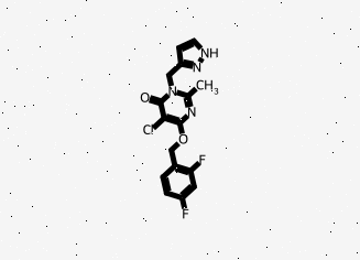 Cc1nc(OCc2ccc(F)cc2F)c(Cl)c(=O)n1Cc1cc[nH]n1